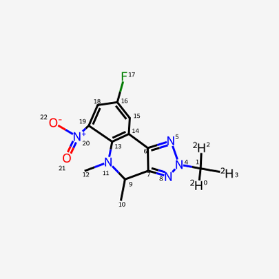 [2H]C([2H])([2H])n1nc2c(n1)C(C)N(C)c1c-2cc(F)cc1[N+](=O)[O-]